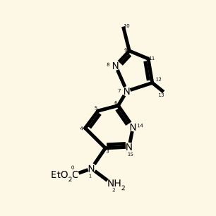 CCOC(=O)N(N)c1ccc(-n2nc(C)cc2C)nn1